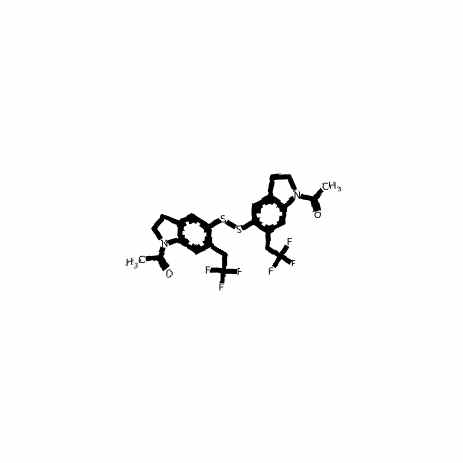 CC(=O)N1CCc2cc(SSc3cc4c(cc3CC(F)(F)F)N(C(C)=O)CC4)c(CC(F)(F)F)cc21